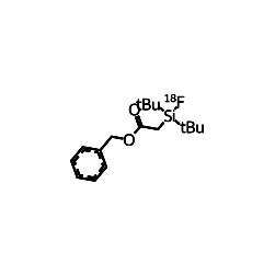 CC(C)(C)[Si]([18F])(CC(=O)OCc1ccccc1)C(C)(C)C